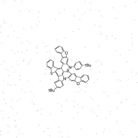 CC(C)(C)c1ccc(N2B3c4cc5c(cc4-n4c6ccc(C(C)(C)C)cc6c6c7sc8ccccc8c7c(c3c64)-c3cc4c(cc32)oc2ccccc24)oc2ccccc25)cc1